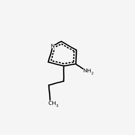 CCCc1cnccc1N